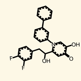 O=c1cc(C(O)Cc2ccc(F)c(F)c2)n(-c2cccc(-c3ccccc3)c2)cc1O